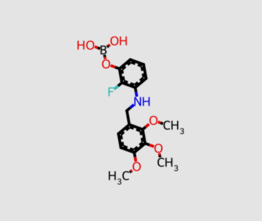 COc1ccc(CNc2cccc(OB(O)O)c2F)c(OC)c1OC